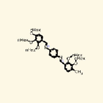 CCCCCCOc1ccc(/C=N/c2ccc(/N=C/c3ccc(C)c(OCCCCCC)c3OCCCCCC)cc2)c(OCCCCCC)c1OCCCCCC